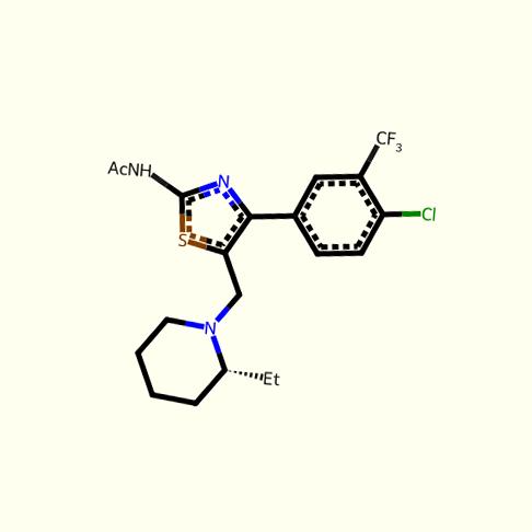 CC[C@@H]1CCCCN1Cc1sc(NC(C)=O)nc1-c1ccc(Cl)c(C(F)(F)F)c1